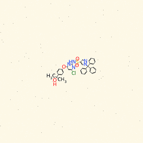 CC(C)(O)c1ccc(Oc2cc(Cl)nc(NS(=O)(=O)c3cnn(C(c4ccccc4)(c4ccccc4)c4ccccc4)c3)n2)cc1